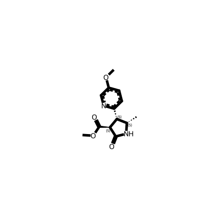 COC(=O)[C@@H]1C(=O)N[C@@H](C)[C@H]1c1ccc(OC)cn1